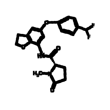 CN1C(=O)CC[C@H]1C(=O)Nc1cc(Oc2ccc(C(F)F)cc2)cc2c1OCC2